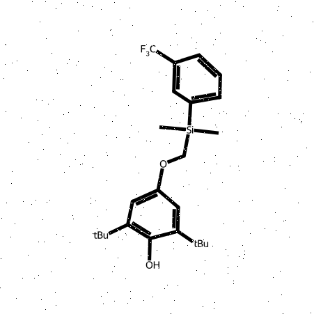 CC(C)(C)c1cc(OC[Si](C)(C)c2cccc(C(F)(F)F)c2)cc(C(C)(C)C)c1O